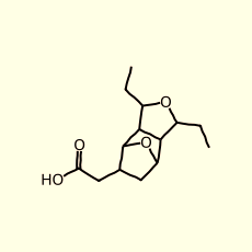 CCC1OC(CC)C2C3OC(CC3CC(=O)O)C12